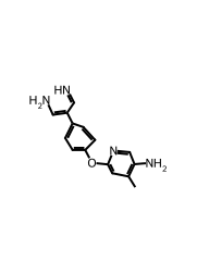 Cc1cc(Oc2ccc(/C(C=N)=C/N)cc2)ncc1N